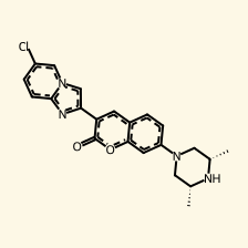 C[C@@H]1CN(c2ccc3cc(-c4cn5cc(Cl)ccc5n4)c(=O)oc3c2)C[C@H](C)N1